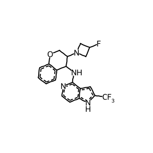 FC1CN(C2COc3ccccc3C2Nc2nccc3[nH]c(C(F)(F)F)cc23)C1